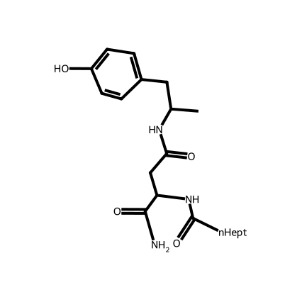 CCCCCCCC(=O)NC(CC(=O)NC(C)Cc1ccc(O)cc1)C(N)=O